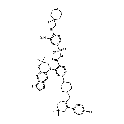 CC1(C)CCC(CN2CCN(c3ccc(C(=O)NS(=O)(=O)c4ccc(NCC5(F)CCOCC5)c([N+](=O)[O-])c4)c(N4CC(C)(C)Oc5nc6[nH]ccc6cc54)c3)CC2)=C(c2ccc(Cl)cc2)C1